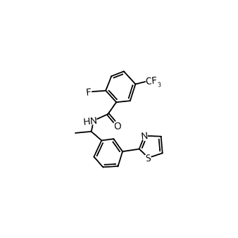 CC(NC(=O)c1cc(C(F)(F)F)ccc1F)c1cccc(-c2nccs2)c1